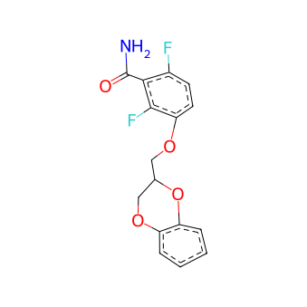 NC(=O)c1c(F)ccc(OCC2COc3ccccc3O2)c1F